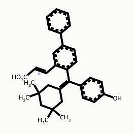 CC1(C)CC(=C(c2ccc(O)cc2)c2ccc(-c3ccccc3)cc2/C=C/C(=O)O)CC(C)(C)C1